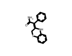 NC(=O)/C(=C1\CSc2ccccc2N1)c1ccccc1